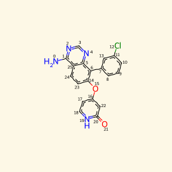 Nc1ncnc2c(-c3cccc(Cl)c3)c(Oc3cc[nH]c(=O)c3)ccc12